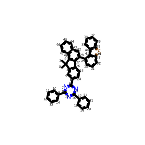 CC1(C)c2cc(-c3nc(-c4ccccc4)nc(-c4ccccc4)n3)ccc2-c2c(-c3cccc4sc5ccccc5c34)cc3ccccc3c21